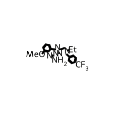 CCN(Cc1ccc(C(F)(F)F)cc1)Cc1nc2c3cccc(OC)c3nc(N)n2n1